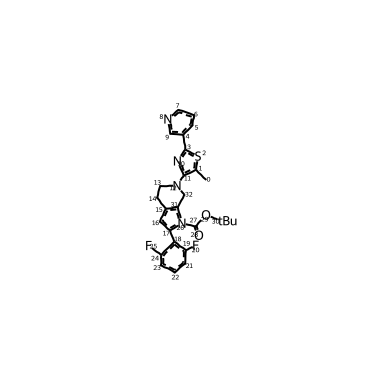 Cc1sc(-c2cccnc2)nc1N1CCc2cc(-c3c(F)cccc3F)n(C(=O)OC(C)(C)C)c2C1